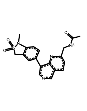 CC(=O)NCc1ccc2cncc(-c3ccc4c(c3)CS(=O)(=O)N4C)c2n1